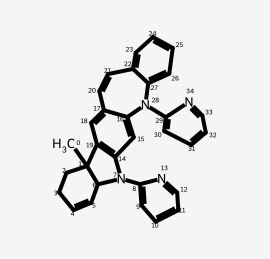 CC12CCC=CC1N(c1ccccn1)c1cc3c(cc12)C=Cc1ccccc1N3c1ccccn1